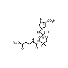 COC(=O)CCNC(=O)[C@@H]1O[PH](O)(N[C@H]2CN[C@@H](C(=O)O)C2)OCC1(C)C